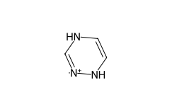 C1=CN[N+]=CN1